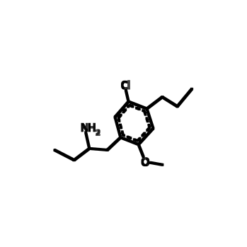 CCCc1cc(OC)c(CC(N)CC)cc1Cl